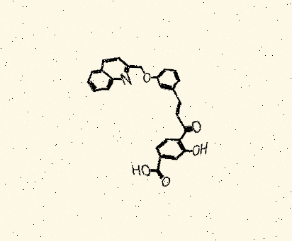 O=C(O)c1ccc(C(=O)C=Cc2cccc(OCc3ccc4ccccc4n3)c2)c(O)c1